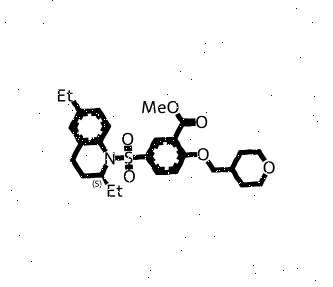 CCc1ccc2c(c1)CC[C@H](CC)N2S(=O)(=O)c1ccc(OCC2CCOCC2)c(C(=O)OC)c1